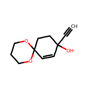 C#CC1(O)C=CC2(CC1)OCCCO2